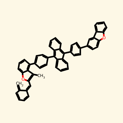 C=c1cccc/c1=C/c1oc2cccc(-c3ccc(-c4c5ccccc5c(-c5ccc(-c6ccc7oc8ccccc8c7c6)cc5)c5ccccc45)cc3)c2c1C